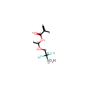 C=C(C)C(=O)OC(C)OCC(F)(F)S(=O)(=O)O